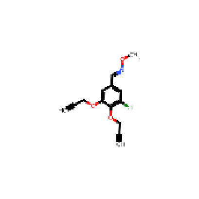 C#CCOc1cc(C=NOC)cc(Cl)c1OCC#C